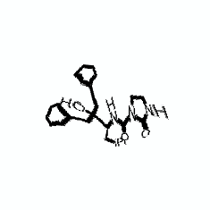 CC(C)C[C@H](NC(=O)N1CCNC1=O)C(O)(Cc1ccccc1)Cc1ccccc1